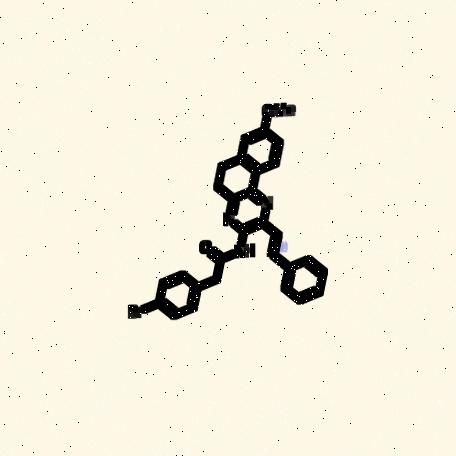 COc1ccc2c(c1)CCc1nc(NC(=O)Cc3ccc(Br)cc3)c(/C=C/c3ccccc3)nc1-2